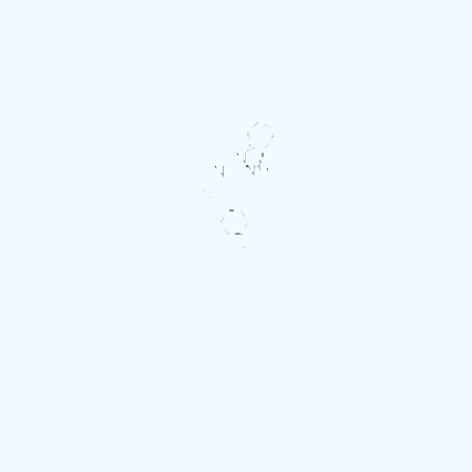 CCCCCCCCOc1ccc(C2CN(Cn3nnc4ccccc43)CCO2)cc1